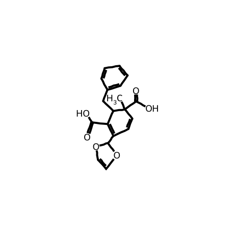 CC1(C(=O)O)C=CC(C2OC=CO2)=C(C(=O)O)C1Cc1ccccc1